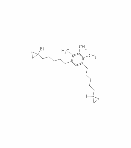 CCC1(CCCCCc2cc(CCCCCC3(I)CC3)c(C)c(C)c2C)CC1